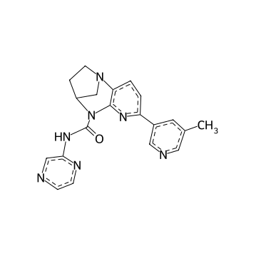 Cc1cncc(-c2ccc3c(n2)N(C(=O)Nc2cnccn2)C2CCN3C2)c1